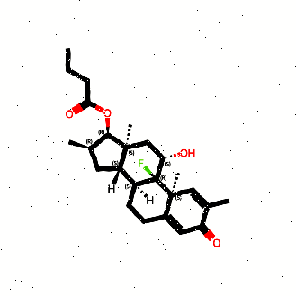 CCCC(=O)O[C@@H]1[C@H](C)C[C@H]2[C@@H]3CCC4=CC(=O)C(C)=C[C@]4(C)[C@@]3(F)[C@@H](O)C[C@]12C